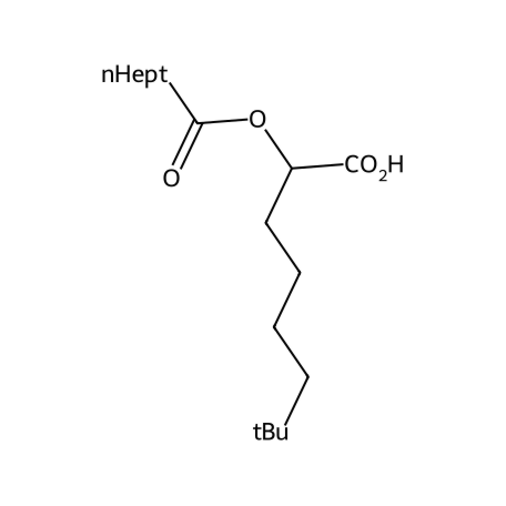 CCCCCCCC(=O)OC(CCCCC(C)(C)C)C(=O)O